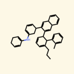 CCCC1=CC=CC(C2=CC3C=CC=CC3C=C2C2C=CC=C(NC3=CCCC=C3)C2)C1c1ccccc1C